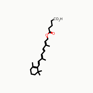 CC1=C(/C=C/C(C)=C/C=C/C(C)=C/COC(=O)CCCC(=O)O)C(C)(C)CCC1